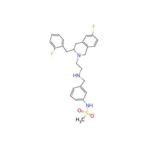 CS(=O)(=O)Nc1cccc(CNCCN2Cc3ccc(F)cc3CC2Cc2ccccc2F)c1